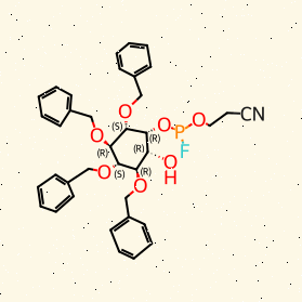 N#CCCOP(F)O[C@@H]1[C@H](O)[C@@H](OCc2ccccc2)[C@H](OCc2ccccc2)[C@@H](OCc2ccccc2)[C@@H]1OCc1ccccc1